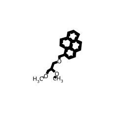 COCC(COCc1ccc2ccc3cccc4ccc1c2c34)OC